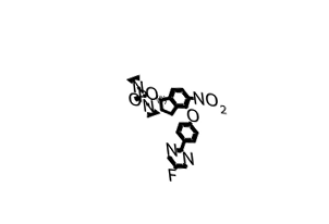 O=[N+]([O-])c1ccc2c(c1Oc1ccc(-c3ncc(F)cn3)cc1)CC[C@@H]2OP(=O)(N1CC1)N1CC1